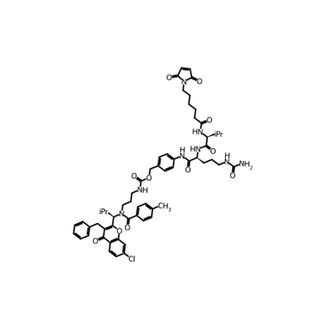 Cc1ccc(C(=O)N(CCCNC(=O)OCc2ccc(NC(=O)[C@H](CCCNC(N)=O)NC(=O)[C@@H](NC(=O)CCCCCN3C(=O)C=CC3=O)C(C)C)cc2)[C@@H](c2oc3cc(Cl)ccc3c(=O)c2Cc2ccccc2)C(C)C)cc1